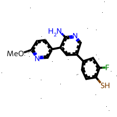 COc1ccc(-c2cc(-c3ccc(S)c(F)c3)cnc2N)cn1